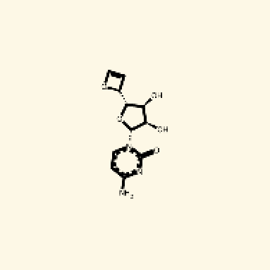 Nc1ccn([C@@H]2O[C@H](C3C=CO3)[C@@H](O)[C@H]2O)c(=O)n1